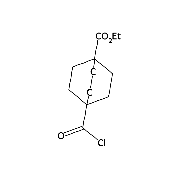 CCOC(=O)C12CCC(C(=O)Cl)(CC1)CC2